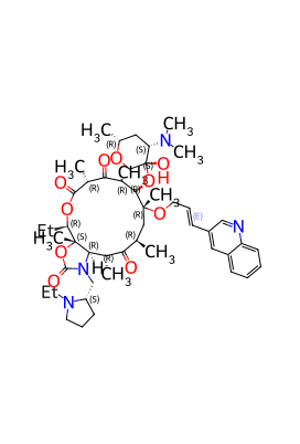 CC[C@H]1OC(=O)[C@H](C)C(=O)[C@H](C)[C@@H](O[C@]2(O)CO[C@H](C)C[C@@H]2N(C)C)[C@](C)(OC/C=C/c2cnc3ccccc3c2)C[C@@H](C)C(=O)[C@H](C)[C@H]2N(C[C@@H]3CCCN3CC)C(=O)O[C@]12C